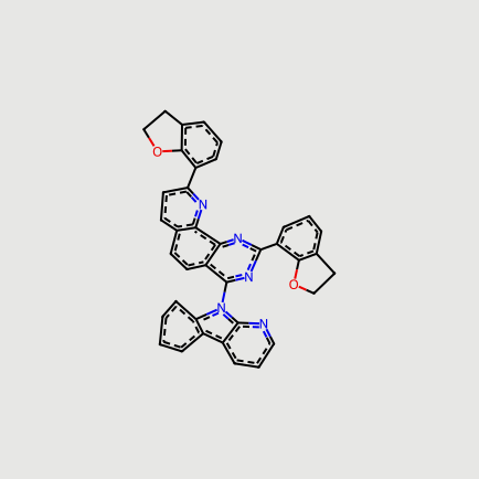 c1cc2c(c(-c3ccc4ccc5c(-n6c7ccccc7c7cccnc76)nc(-c6cccc7c6OCC7)nc5c4n3)c1)OCC2